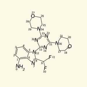 Nc1cccc2c1nc(C(F)F)n2-c1nc(N2CCOCC2)nc(N2CCOCC2)n1